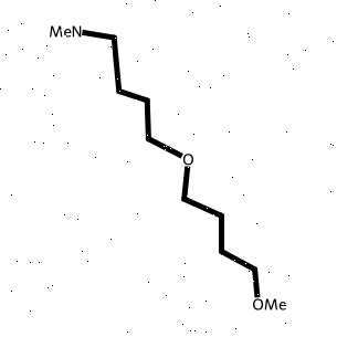 CNCCCCOCCCCOC